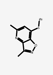 Cc1cc(SC(C)C)c2onc(C)c2n1